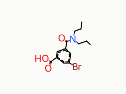 CCCN(CCC)C(=O)c1cc(Br)cc(C(=O)O)c1